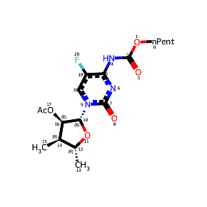 CCCCCOC(=O)Nc1nc(=O)n([C@@H]2O[C@H](C)[C@@H](C)[C@H]2OC(C)=O)cc1F